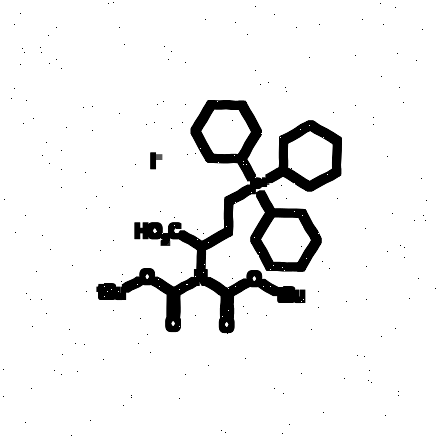 CC(C)(C)OC(=O)N(C(=O)OC(C)(C)C)C(CC[P+](C1CCCCC1)(C1CCCCC1)C1CCCCC1)C(=O)O.[I-]